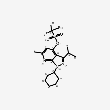 Cc1cc(OS(=O)(=O)C(F)(F)F)c2c(C(C)C)nn(C3CCCCC3)c2n1